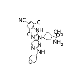 C[C@]1(C(N)=O)CC[C@@H](n2c(Nc3c(Cl)cc(C#N)cc3Cl)nc3cnc(NC4CCOCC4)nc32)CC1